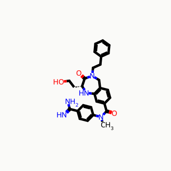 CN(C(=O)c1ccc2c(c1)N[C@H](CCO)C(=O)N(CCc1ccccc1)C2)c1ccc(C(=N)N)cc1